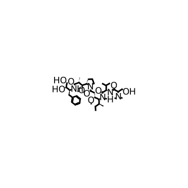 CC[C@H](C)[C@@H]([C@@H](CC(=O)N1CCC[C@H]1[C@H](OC)[C@@H](C)C(=O)N[C@@H](Cc1ccccc1)[C@@H](O)CO)OC)N(C)C(=O)[C@@H](NC(=O)C(CO)N(C)C)C(C)C